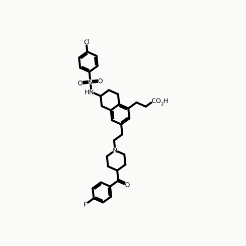 O=C(O)CCc1cc(CCN2CCC(C(=O)c3ccc(F)cc3)CC2)cc2c1CCC(NS(=O)(=O)c1ccc(Cl)cc1)C2